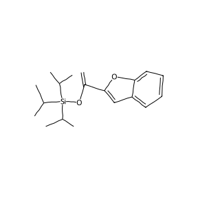 C=C(O[Si](C(C)C)(C(C)C)C(C)C)c1cc2ccccc2o1